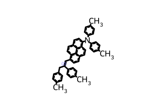 Cc1ccc(C/C(=C/c2ccc3ccc4c(N(c5ccc(C)cc5)c5ccc(C)cc5)ccc5ccc2c3c54)c2ccc(C)cc2)cc1